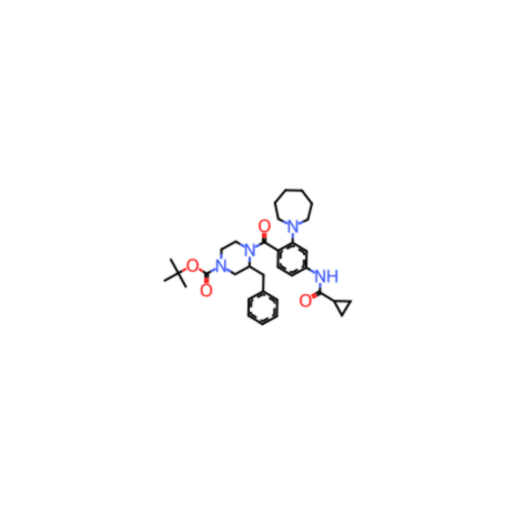 CC(C)(C)OC(=O)N1CCN(C(=O)c2ccc(NC(=O)C3CC3)cc2N2CCCCCC2)C(Cc2ccccc2)C1